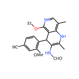 CCOc1ncc(C)c2c1C(c1ccc(C#N)cc1OC)C(NC=O)=C(C)N2